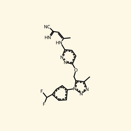 C/C(=C/C(=N)C#N)Nc1ccc(OCc2c(C)nnn2-c2ccc(C(F)F)cc2)nn1